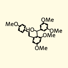 COc1ccc(/C=C/c2cc(OC)cc(OC)c2C(O)c2cc(OC)cc(OC)c2)cc1